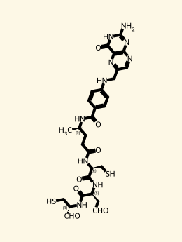 C[C@H](CCC(=O)N[C@@H](CS)C(=O)N[C@@H](CC=O)C(=O)N[C@H](C=O)CS)NC(=O)c1ccc(NCc2cnc3nc(N)[nH]c(=O)c3n2)cc1